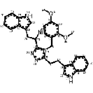 COc1ccc(Cn2c(CCc3c[nH]c4ccccc34)nnc2C(N)Cc2c[nH]c3ccccc23)c(OC)c1